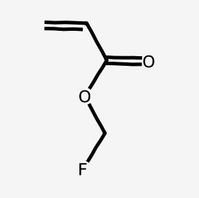 C=CC(=O)OCF